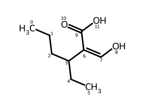 CCCC(CC)C(=CO)C(=O)O